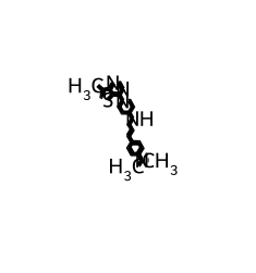 Cc1csc2c(N3CCC(NC/C=C/c4ccc(N(C)C)cc4)CC3)ncnc12